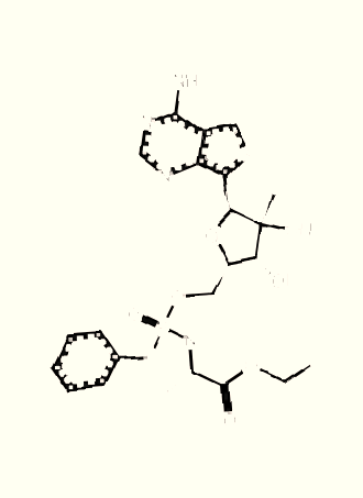 CCOC(=O)[C@H](C)NP(=O)(OC[C@H]1O[C@@H](c2scc3c(N)ncnc23)[C@](C)(O)[C@@H]1O)Oc1ccccc1